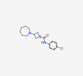 O=C(Nc1ccc(Cl)cc1)N1CC(N2CCCCCC2)C1